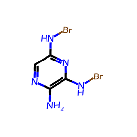 Nc1ncc(NBr)nc1NBr